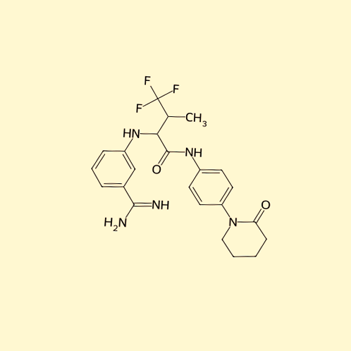 CC(C(Nc1cccc(C(=N)N)c1)C(=O)Nc1ccc(N2CCCCC2=O)cc1)C(F)(F)F